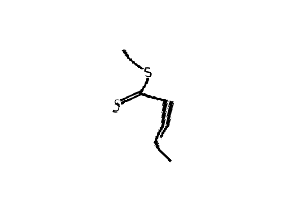 C/C=C/C(=S)SC